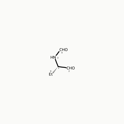 CC[C@@H](C=O)NC=O